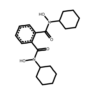 O=C(c1ccccc1C(=O)N(O)C1CCCCC1)N(O)C1CCCCC1